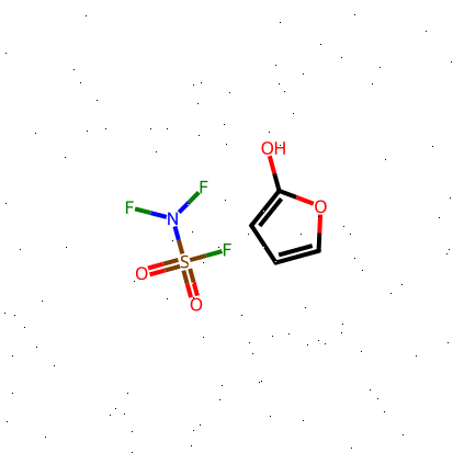 O=S(=O)(F)N(F)F.Oc1ccco1